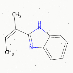 C/C=C(/C)c1nc2ccccc2[nH]1